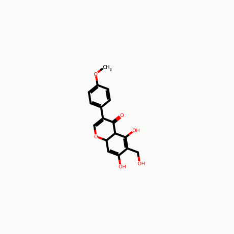 COc1ccc(C2=COC3C=C(O)C(CO)=C(O)C3C2=O)cc1